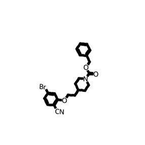 N#Cc1ccc(Br)cc1OCCC1CCN(C(=O)OCc2ccccc2)CC1